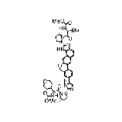 CC[C@H](C)C(NC(=O)OC)C(=O)N1[C@@H](C)CC[C@H]1c1nc2ccc3cc4c(cc3c2[nH]1)OCc1cc(-c2cnc([C@@H]3CC[C@H](C)N3C(=O)[C@@H](NC(=O)OC)C3CCOCC3)[nH]2)ccc1-4